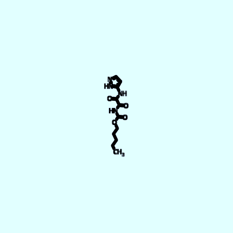 CCCCCOC(=O)NC(=O)C(=O)Nc1ccn[nH]1